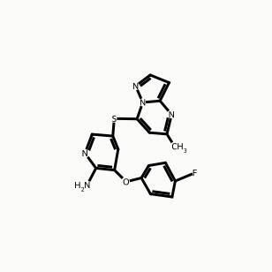 Cc1cc(Sc2cnc(N)c(Oc3ccc(F)cc3)c2)n2nccc2n1